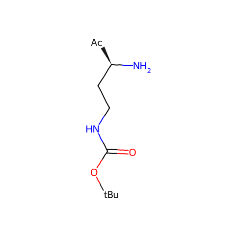 CC(=O)[C@@H](N)CCNC(=O)OC(C)(C)C